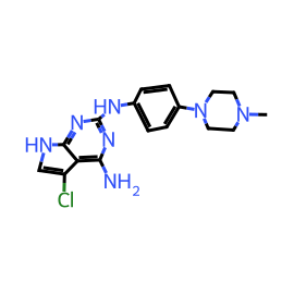 CN1CCN(c2ccc(Nc3nc(N)c4c(Cl)c[nH]c4n3)cc2)CC1